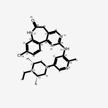 CCN1[C@H](C)CN(c2cnc(C)c(Nc3ncc4c(n3)-c3ccc(Cl)cc3NC(=O)C4)c2)C[C@@H]1C